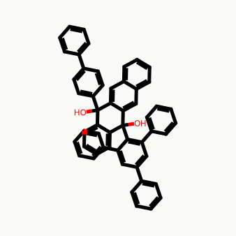 OC1(c2ccc(-c3ccccc3)cc2)c2ccccc2C(O)(c2c(-c3ccccc3)cc(-c3ccccc3)cc2-c2ccccc2)c2cc3ccccc3cc21